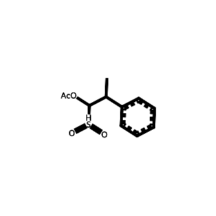 CC(=O)OC(C(C)c1ccccc1)[SH](=O)=O